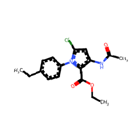 CCOC(=O)c1c(NC(C)=O)cc(Cl)n1-c1ccc(CC)cc1